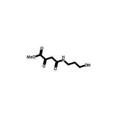 COC(=O)C(=O)CC(=O)NCCCO